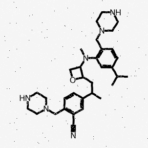 CC(C)c1ccc(CN2CCNCC2)c(N(C)C2COC2CC(C)c2ccc(CN3CCNCC3)c(C#N)c2)c1